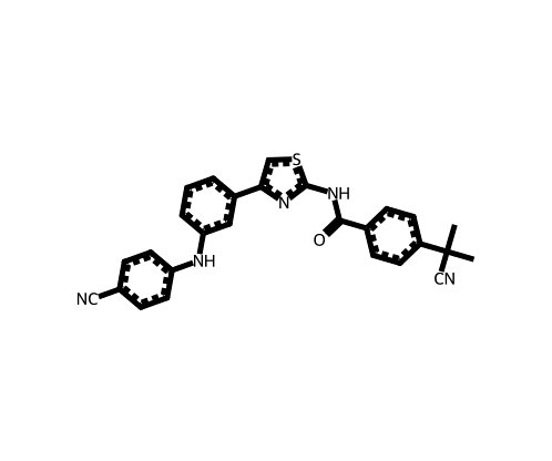 CC(C)(C#N)c1ccc(C(=O)Nc2nc(-c3cccc(Nc4ccc(C#N)cc4)c3)cs2)cc1